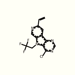 C=Cc1cc2c3ncnc(Cl)c3n(CC(F)(F)F)c2cn1